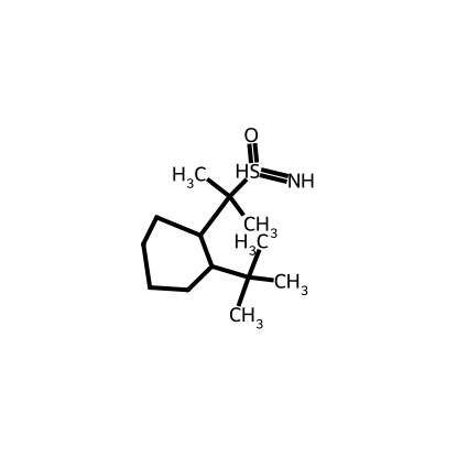 CC(C)(C)C1CCCCC1C(C)(C)[SH](=N)=O